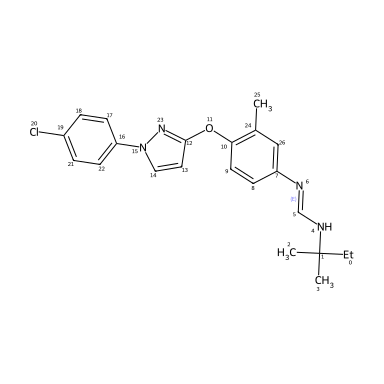 CCC(C)(C)N/C=N/c1ccc(Oc2ccn(-c3ccc(Cl)cc3)n2)c(C)c1